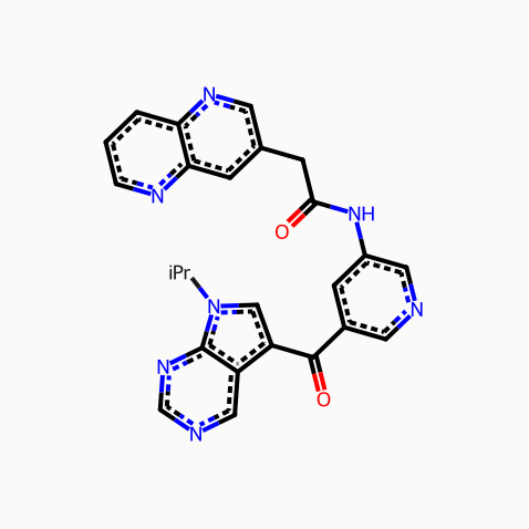 CC(C)n1cc(C(=O)c2cncc(NC(=O)Cc3cnc4cccnc4c3)c2)c2cncnc21